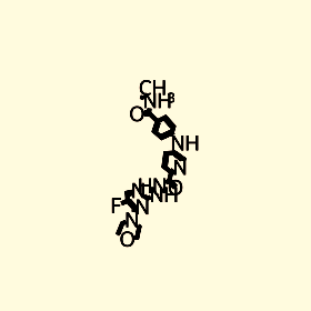 CCNC(=O)c1ccc(Nc2ccc(C(=O)NNc3ncc(F)c(N4CCOCC4)n3)nc2)cc1